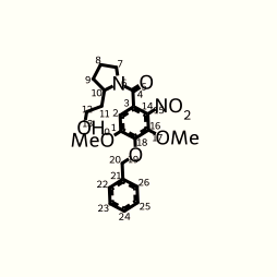 COc1cc(C(=O)N2CCCC2CCO)c([N+](=O)[O-])c(OC)c1OCc1ccccc1